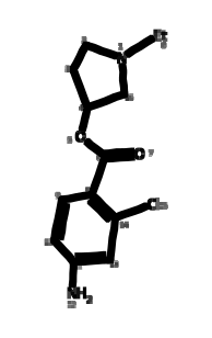 CCN1CCC(OC(=O)c2ccc(N)cc2Cl)C1